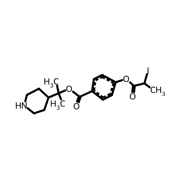 CC(I)C(=O)Oc1ccc(C(=O)OC(C)(C)C2CCNCC2)cc1